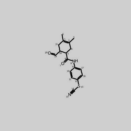 CC1=C(C)CC(C(=O)Nc2ccc(SC#N)cc2)C(C=O)C1